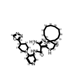 Nc1nn2c(c1C(=O)Nc1cnccc1N1CCC(c3nnco3)CC1)NCC(F)C21CCCCCCCCCC1